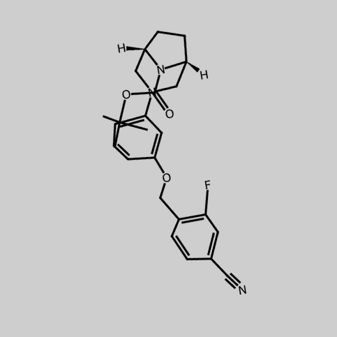 CC(C)(C)OC(=O)N1[C@@H]2CC[C@H]1CN(c1cccc(OCc3ccc(C#N)cc3F)c1)C2